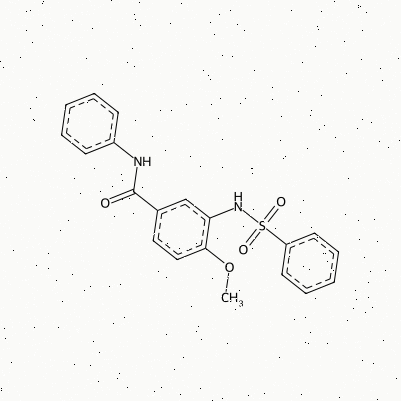 COc1ccc(C(=O)Nc2ccccc2)cc1NS(=O)(=O)c1ccccc1